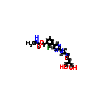 CNC(=O)OCc1cccc(-c2cnc(N3CC(=NOCC(CO)CO)C3)nc2)c1F